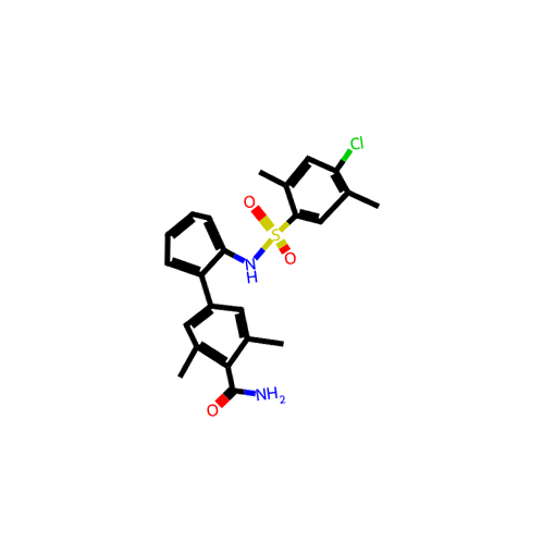 Cc1cc(S(=O)(=O)Nc2ccccc2-c2cc(C)c(C(N)=O)c(C)c2)c(C)cc1Cl